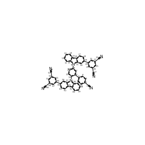 N#Cc1ccc(-c2cc(-n3c4ccccc4c4ccc(-c5cc(C#N)cc(C#N)c5)cc43)ncc2-n2c3ccccc3c3ccc(-c4cc(C#N)cc(C#N)c4)cc32)cc1